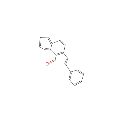 O=Cc1c(C=Cc2ccccc2)ccc2ccccc12